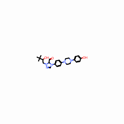 CC(C)(C)C(O)CN1N=CN(c2ccc(N3CCN(c4ccc(O)cc4)CC3)cc2)C1C=O